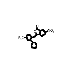 O=C1OC(=Cc2ccc(C(F)(F)F)cc2-c2ccccc2)c2ccc([N+](=O)[O-])cc21